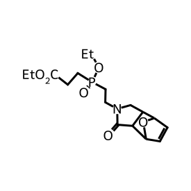 CCOC(=O)CCP(=O)(CCN1CC2C3C=CC(O3)C2C1=O)OCC